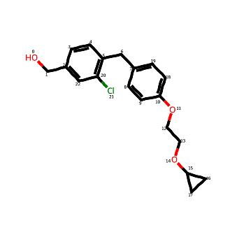 O[CH]c1ccc(Cc2ccc(OCCOC3CC3)cc2)c(Cl)c1